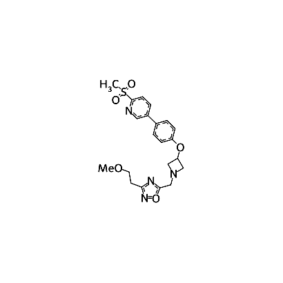 COCCc1noc(CN2CC(Oc3ccc(-c4ccc(S(C)(=O)=O)nc4)cc3)C2)n1